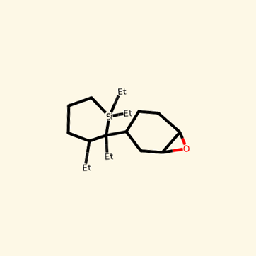 CCC1CCC[Si](CC)(CC)C1(CC)C1CCC2OC2C1